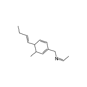 C/C=N\CC1=CC(C)C(/C=C/CC)C=C1